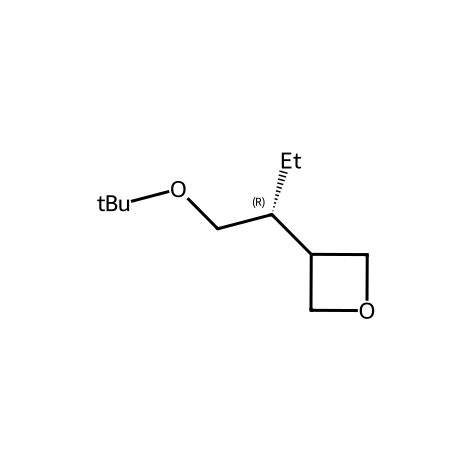 CC[C@@H](COC(C)(C)C)C1COC1